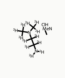 CNC.Cl.[2H]N([2H])C([2H])([2H])C([2H])([2H])N(C([2H])([2H])[2H])C([2H])([2H])[2H]